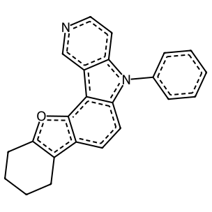 c1ccc(-n2c3ccncc3c3c4oc5c(c4ccc32)CCCC5)cc1